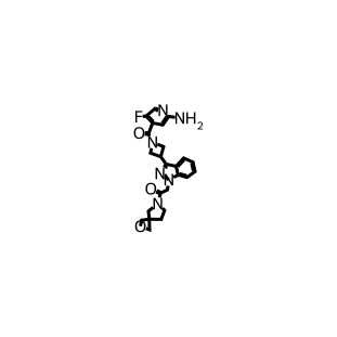 Nc1cc(C(=O)N2CC(c3nn(CC(=O)N4CCC5(COC5)C4)c4ccccc34)C2)c(F)cn1